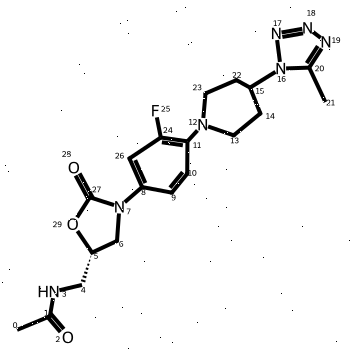 CC(=O)NC[C@H]1CN(c2ccc(N3CCC(n4nnnc4C)CC3)c(F)c2)C(=O)O1